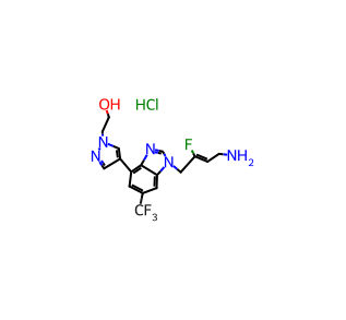 Cl.NC/C=C(\F)Cn1cnc2c(-c3cnn(CCO)c3)cc(C(F)(F)F)cc21